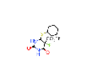 CCOC(=O)C1(F)C(=O)NC(=O)NC1SC1CCCCC1